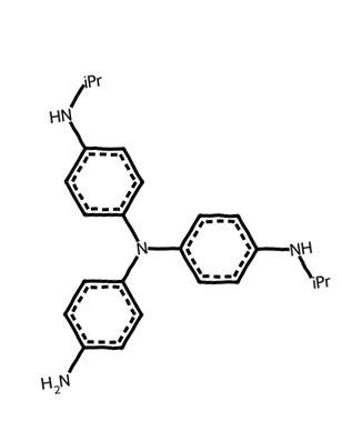 CC(C)Nc1ccc(N(c2ccc(N)cc2)c2ccc(NC(C)C)cc2)cc1